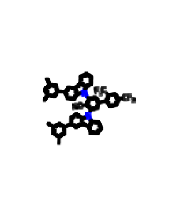 Cc1cc(C)cc(-c2ccc3c(c2)c2ccccc2n3-c2cc(-c3ccc(C(F)(F)F)cc3C(F)(F)F)cc(-n3c4ccccc4c4cc(-c5cc(C)cc(C)c5)ccc43)c2C#N)c1